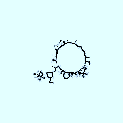 [2H]C1([2H])C[C@H]2C[C@H](OC)/C(C)=C/C=C/C=C/[C@@H](C)C[C@@H](C)C(=C)[C@H](OC)[C@H](O)/C(C)=C/[C@@H](C)C(=O)C[C@@H]([C@H](C)C[C@@H]3CC[C@@H](OC([2H])([2H])C([2H])([2H])O)[C@H](OC)C3)OC(=O)[C@@H]3CCCCN3C(=O)C(=O)[C@](O)(O2)[C@@H]1C